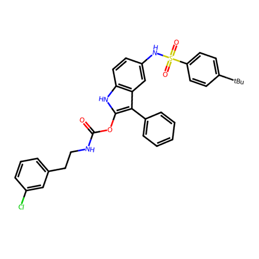 CC(C)(C)c1ccc(S(=O)(=O)Nc2ccc3[nH]c(OC(=O)NCCc4cccc(Cl)c4)c(-c4ccccc4)c3c2)cc1